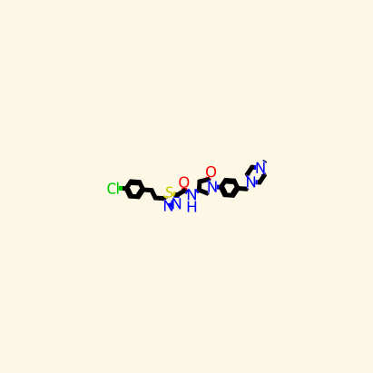 CN1CCN(Cc2ccc(N3CC(NC(=O)c4nnc(CCc5ccc(Cl)cc5)s4)CC3=O)cc2)CC1